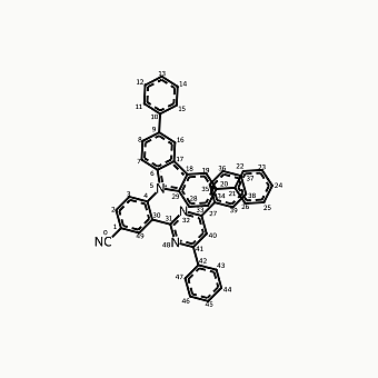 N#Cc1ccc(-n2c3ccc(-c4ccccc4)cc3c3cc(-c4ccccc4)ccc32)c(-c2nc(-c3ccccc3)cc(-c3ccccc3)n2)c1